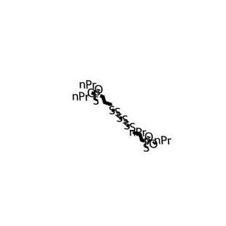 CCCOP(=S)(CCCSSSSSSCCCP(=S)(OCCC)OCCC)OCCC